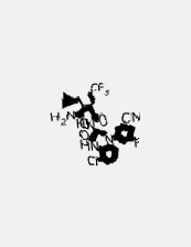 N#Cc1cc(F)cc(N2C[C@H](NC(=O)[C@H](CCC(F)(F)F)[C@H](CC3CC3)C(N)=O)C(=O)Nc3c(Cl)cccc32)c1